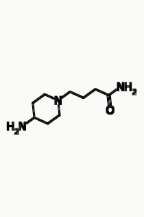 NC(=O)CCCN1CCC(N)CC1